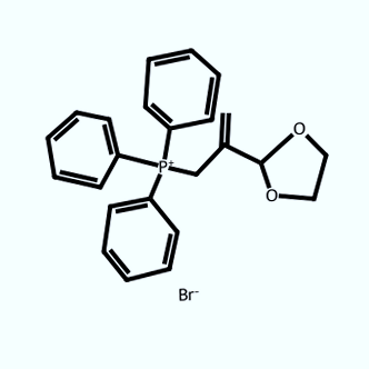 C=C(C[P+](c1ccccc1)(c1ccccc1)c1ccccc1)C1OCCO1.[Br-]